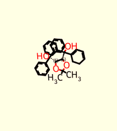 CC1(C)O[C@H](C(O)(C2=CC=CCC2)c2ccccc2)[C@@H](C(O)(c2ccccc2)c2ccccc2)O1